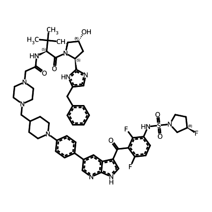 CC(C)(C)[C@H](NC(=O)CN1CCN(CC2CCN(c3ccc(-c4cnc5[nH]cc(C(=O)c6c(F)ccc(NS(=O)(=O)N7CC[C@@H](F)C7)c6F)c5c4)cc3)CC2)CC1)C(=O)N1C[C@H](O)C[C@H]1c1ncc(Cc2ccccc2)[nH]1